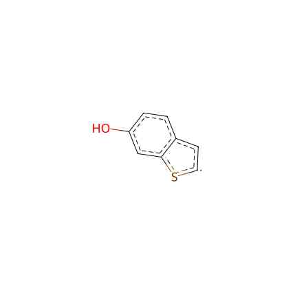 Oc1ccc2c[c]sc2c1